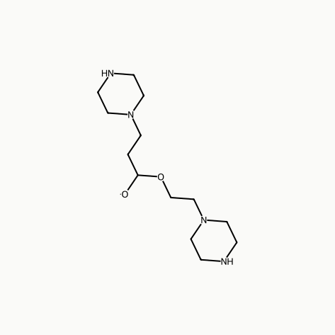 [O]C(CCN1CCNCC1)OCCN1CCNCC1